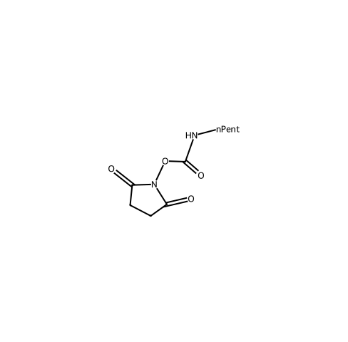 CCCCCNC(=O)ON1C(=O)CCC1=O